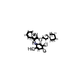 C[N+]1(CCOc2nn3ccccc3c2/N=C2\C=C(Cl)C(=O)C=C2O)CCCCC1